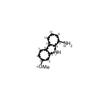 COc1ccc2c(c1)[nH]c1c(N)cccc12